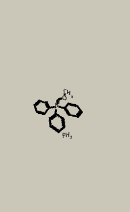 COC[PH](c1ccccc1)(c1ccccc1)c1ccccc1.P